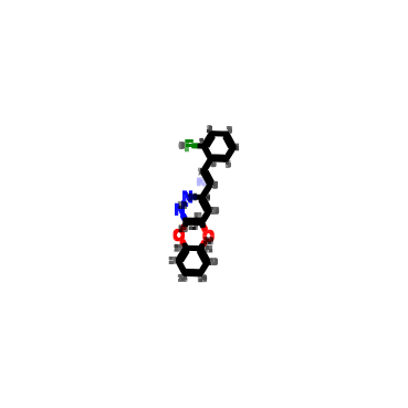 Fc1ccccc1/C=C/c1cc2c(nn1)Oc1ccccc1O2